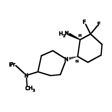 CC(C)N(C)C1CCN([C@H]2CCCC(F)(F)[C@@H]2N)CC1